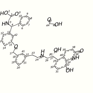 O=C(O)NC(c1ccccc1)c1cccc(OCc2cccc(CCNC[C@H](O)c3ccc(O)c4[nH]c(=O)ccc34)c2)c1.O=CO